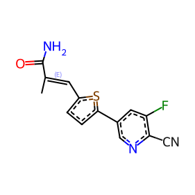 C/C(=C\c1ccc(-c2cnc(C#N)c(F)c2)s1)C(N)=O